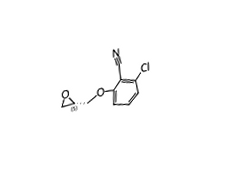 N#Cc1c(Cl)cccc1OC[C@@H]1CO1